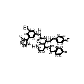 CCc1cc(NC(=O)NC(CCc2ccc(F)cc2)C2CNCCC2N(C)Cc2ccccc2)cc(-c2nnnn2C)c1